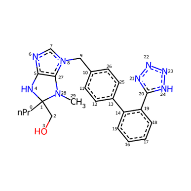 CCCC1(CO)Nc2ncn(Cc3ccc(-c4ccccc4-c4nnn[nH]4)cc3)c2N1C